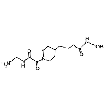 NCNC(=O)C(=O)N1CCC(CCCC(=O)NO)CC1